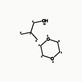 C1COCCO1.CC(C)CO